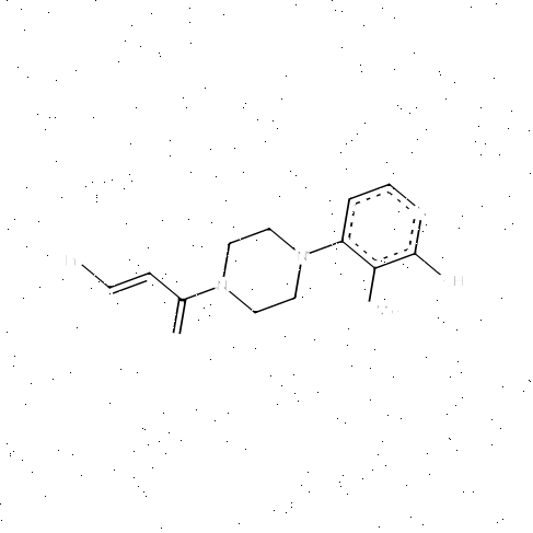 COc1c(N2CCN(C(=O)/C=C/C(C)C)CC2)ccnc1C